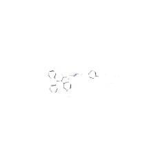 Cc1c(C(c2ccccc2)c2ccccc2)c2cc(Cl)ccc2n1C/C=C/COc1ccc(C(=O)O)cc1